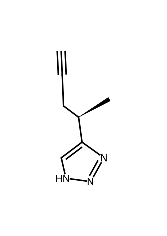 C#CC[C@@H](C)c1c[nH]nn1